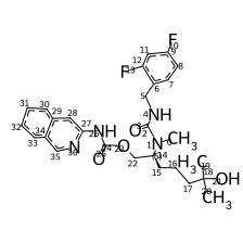 CN(C(=O)NCc1ccc(F)cc1F)[C@@H](CCCC(C)(C)O)COC(=O)Nc1cc2ccccc2cn1